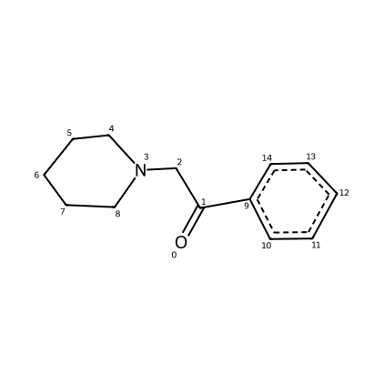 O=C(CN1CCCCC1)c1ccccc1